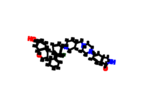 O=C1NCc2cc(N3CCN(CC4CCN(c5ccc([C@H]6c7ccc(O)cc7OC[C@H]6c6ccccc6)cc5F)CC4)CC3)ccc21